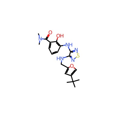 CN(C)C(=O)c1cccc(Nc2nsnc2NCc2cc(C(C)(C)C)co2)c1O